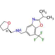 CC(C)c1nc2cc(CNC[C@H]3CCCO3)cc(C(F)(F)F)c2o1